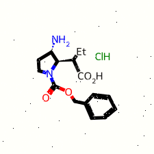 CCC(C(=O)O)[C@@H]1[C@@H](N)CCN1C(=O)OCc1ccccc1.Cl